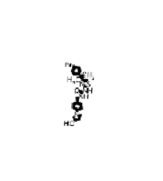 CC(C)(c1ccc(Br)cc1)c1csc(NC(=O)NCc2ccc(N3CCC(O)C3)cc2)n1